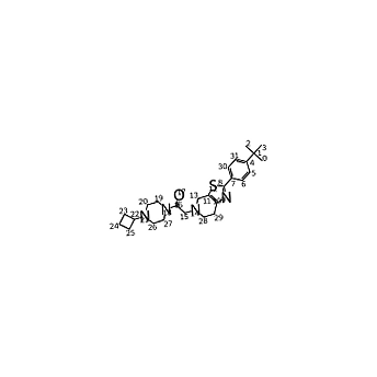 CC(C)(C)c1ccc(-c2nc3c(s2)CN(CC(=O)N2CCN(C4CCC4)CC2)CC3)cc1